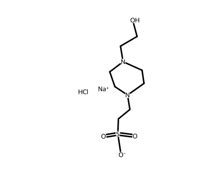 Cl.O=S(=O)([O-])CCN1CCN(CCO)CC1.[Na+]